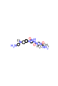 CCN(C1CCc2cc(-n3ccc(NC(=O)N4CCN(C(=O)C(C)(C)N)CC4)nc3=O)ccc2C1)[C@H]1CC[C@H](N)C1